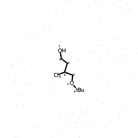 CC(C)(C)OCC(Cl)CCO